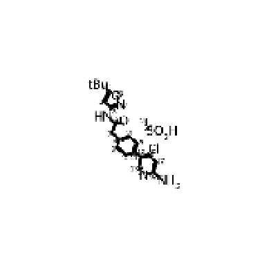 CC(C)(C)c1cc(NC(=O)Cc2ccc(-c3cnc(N)cc3Cl)cc2)no1.CS(=O)(=O)O